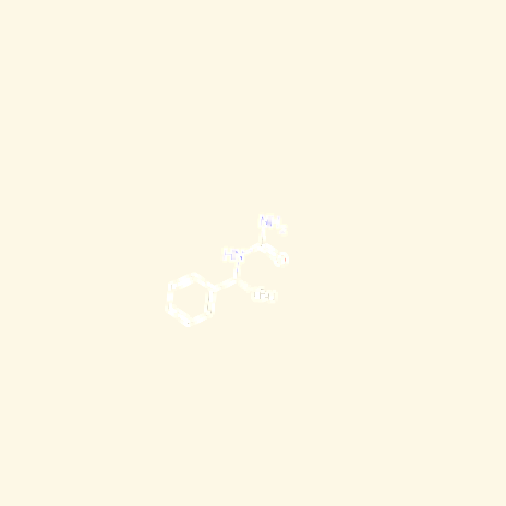 CC(C)(C)[C@@H](NC(N)=O)c1ccccc1